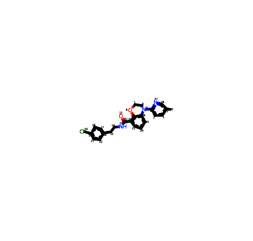 Cc1ccc(N2CCOc3c(C(=O)NCCc4ccc(Cl)cc4)cccc32)nc1